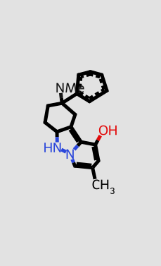 CNC1(c2ccccc2)CCC2NN3C=C(C)C=C(O)C3=C2C1